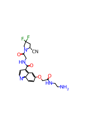 N#C[C@@H]1CC(F)(F)CN1C(=O)CNC(=O)c1ccnc2ccc(OCC(=O)NCCN)cc12